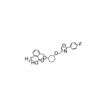 Cc1cccc(COC2CCCC(OCc3coc(-c4ccc(F)cc4)n3)C2)c1C(=O)O